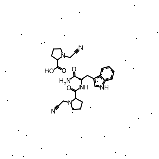 N#CCN1CCCC1C(=O)NC(Cc1c[nH]c2ccccc12)C(N)=O.N#CCN1CCCC1C(=O)O